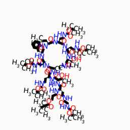 CCC(C)(C)C(=O)OCCC(=O)N[C@@H](CCNC(=O)CNC(=O)OC(C)(C)C)C(=O)N[C@H](C(=O)N[C@@H](CCNC(=O)OC(C)(C)C)C(=O)N[C@H]1CCNC(=O)[C@H](C(C)O)NC(=O)[C@H](CCNC(=O)OC(C)(C)C)NC(=O)[C@H](CCNC(=O)OC(C)(C)C)NC(=O)[C@H](CC(C)C)NC(=O)[C@@H](Cc2ccccc2)NC(=O)[C@H](CCNC(=O)OC(C)(C)C)NC1=O)C(C)O